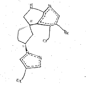 CCc1cnn([C@H]2CC[C@@]3(CNc4ncc(Br)c(Cl)c43)C2)c1